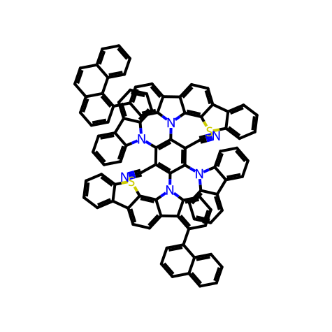 N#Cc1c(-n2c3ccccc3c3ccccc32)c(-n2c3cccc(-c4cccc5ccccc45)c3c3ccc4c5ccccc5sc4c32)c(C#N)c(-n2c3ccccc3c3ccccc32)c1-n1c2cc(-c3cccc4ccc5ccccc5c34)ccc2c2ccc3c4ccccc4sc3c21